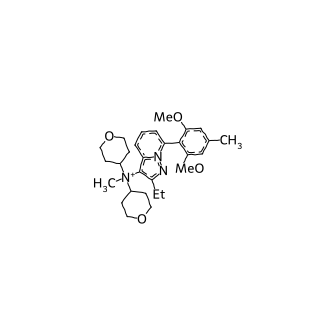 CCc1nn2c(-c3c(OC)cc(C)cc3OC)cccc2c1[N+](C)(C1CCOCC1)C1CCOCC1